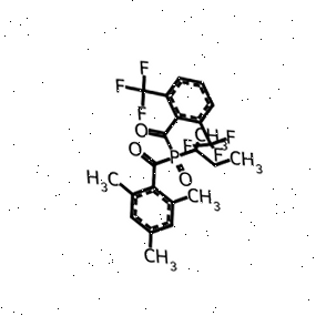 CCC(C)P(=O)(C(=O)c1c(C)cc(C)cc1C)C(=O)c1c(C(F)(F)F)cccc1C(F)(F)F